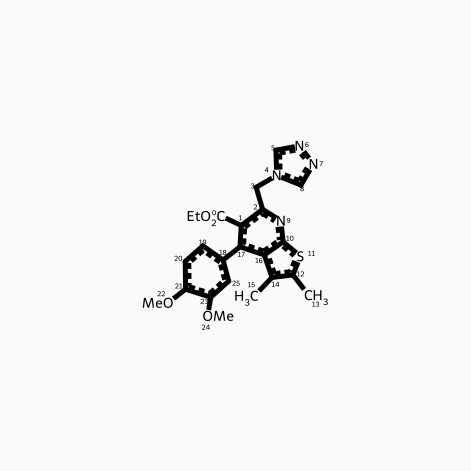 CCOC(=O)c1c(Cn2cnnc2)nc2sc(C)c(C)c2c1-c1ccc(OC)c(OC)c1